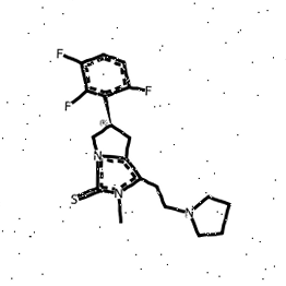 Cn1c(CCN2CCCC2)c2n(c1=S)C[C@@H](c1c(F)ccc(F)c1F)C2